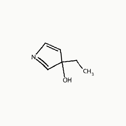 CCC1(O)C=CN=C1